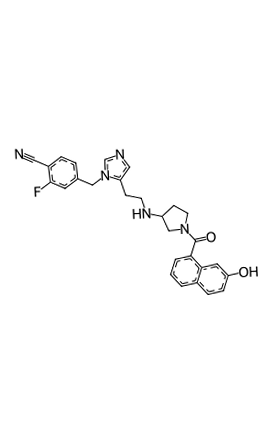 N#Cc1ccc(Cn2cncc2CCNC2CCN(C(=O)c3cccc4ccc(O)cc34)C2)cc1F